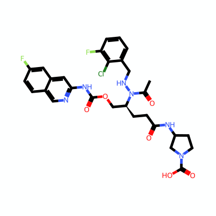 CC(=O)N(NCc1cccc(F)c1Cl)[C@@H](CCC(=O)NC1CCN(C(=O)O)C1)COC(=O)Nc1cc2cc(F)ccc2cn1